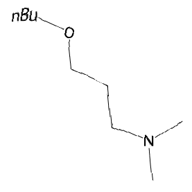 CCCCOCCCN(C)C